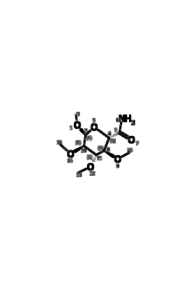 CO[C@H]1O[C@H](C(N)=O)[C@@H](OC)[C@H](OC)[C@H]1OC